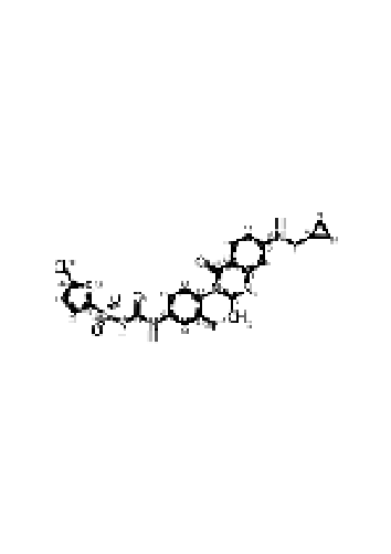 Cc1nc2cc(NCC3CC3)ccc2c(=O)n1-c1ccc(NC(=O)NS(=O)(=O)c2ccc(Cl)s2)cc1F